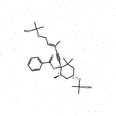 COC(C)(C)OCC=C(C)C#C[C@]1(OC(=O)c2ccccc2)[C@H](C)C[C@@H](OC(C)(C)OC)CC1(C)C